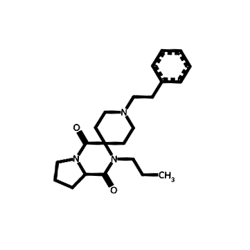 CCCN1C(=O)C2CCCN2C(=O)C12CCN(CCc1ccccc1)CC2